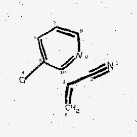 C=CC#N.Clc1cccnc1